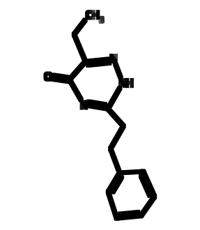 CCc1n[nH]c(CCc2ccccc2)nc1=O